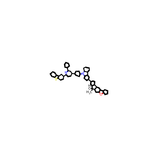 CC1(C)c2cc(-c3ccc4c(c3)C3=CC=CCC3N4c3ccc(C4C=C=C(C5C=Cc6sc7ccccc7c6C5)N=C(c5ccccc5)C4)cc3)ccc2-c2cc3c(cc21)oc1ccccc13